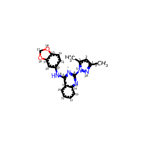 Cc1cc(C)n(-c2nc(Nc3ccc4c(c3)OCO4)c3ccccc3n2)n1